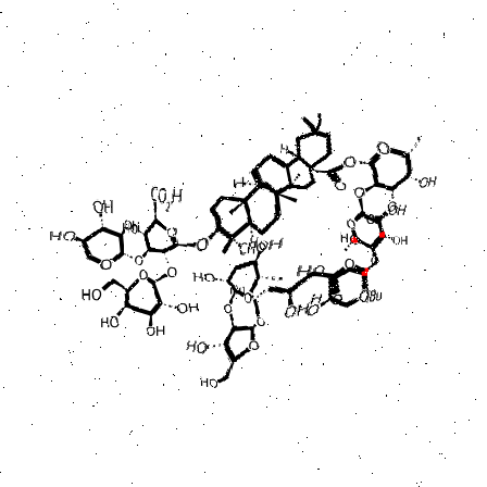 CC[C@H](C)[C@H](C[C@H](O)CC(=O)O[C@H]1[C@@H](O)[C@@H](C)O[C@@H](OC(=O)[C@]23CCC(C)(C)C[C@H]2C2=CC[C@@H]4[C@@]5(C)CC[C@H](O[C@@H]6O[C@H](C(=O)O)[C@@H](O)[C@H](O[C@@H]7OC[C@@H](O)[C@H](O)[C@H]7O)[C@H]6O[C@@H]6O[C@H](CO)[C@H](O)[C@H](O)[C@H]6O)[C@@](C)(C=O)[C@@H]5CC[C@@]4(C)[C@]2(C)CC3)[C@@H]1O[C@@H]1O[C@@H](C)[C@H](O[C@H]2C[C@@H](O)[C@H](O)CO2)[C@@H](O)[C@H]1O)OC(=O)C[C@@H](O)C[C@H](O[C@@H]1O[C@@H](CO)[C@H](O)[C@H]1O[C@@H]1O[C@@H](C)[C@H](O)C[C@H]1O)[C@@H](C)CC